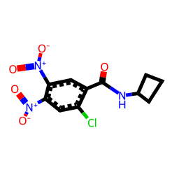 O=C(NC1CCC1)c1cc([N+](=O)[O-])c([N+](=O)[O-])cc1Cl